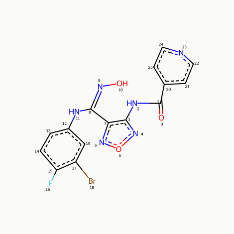 O=C(Nc1nonc1/C(=N\O)Nc1ccc(F)c(Br)c1)c1ccncc1